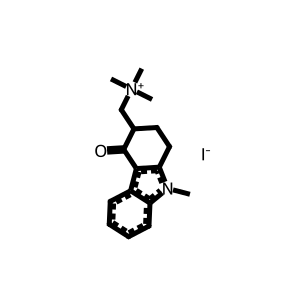 Cn1c2c(c3ccccc31)C(=O)C(C[N+](C)(C)C)CC2.[I-]